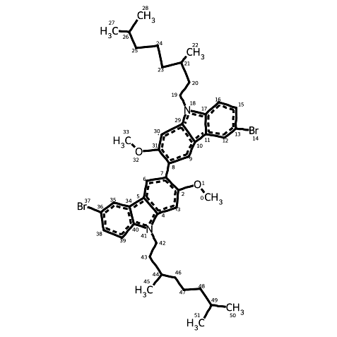 COc1[c]c2c(cc1-c1cc3c4cc(Br)ccc4n(CCC(C)CCCC(C)C)c3[c]c1OC)c1cc(Br)ccc1n2CCC(C)CCCC(C)C